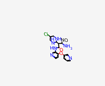 NC(N=O)C(C(=O)Nc1cnccc1Oc1cccnc1)C1NCC(Cl)CN1